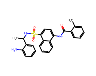 Cc1ccccc1C(=O)Nc1ccc(S(=O)(=O)NC(C)c2ccccc2N)c2ccccc12